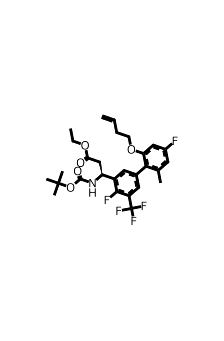 C=CCCOc1cc(F)cc(C)c1-c1cc([C@H](CC(=O)OCC)NC(=O)OC(C)(C)C)c(F)c(C(F)(F)F)c1